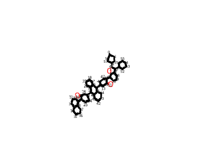 c1ccc(-c2oc3c(ccc4oc5cc(-c6c7ccccc7c(-c7ccc8c(c7)oc7ccc9ccccc9c78)c7ccccc67)ccc5c43)c2-c2ccccc2)cc1